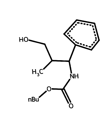 CCCCOC(=O)NC(c1ccccc1)C(C)CO